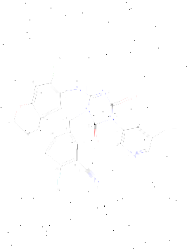 Cc1cncc(-n2c(=O)nc(Nc3cc4c(cc3Cl)OCCC4)n(Cc3ccc(F)c(C#N)c3)c2=O)c1